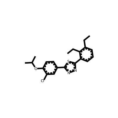 CCc1cccc(-c2nnc(-c3ccc(OC(C)C)c(Cl)c3)s2)c1CC